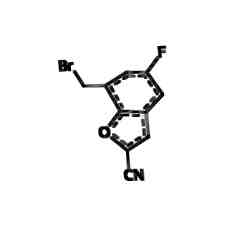 N#Cc1cc2cc(F)cc(CBr)c2o1